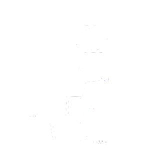 COc1ccc(C=O)c2cc(C(=O)N[C@@H](C)c3ccccc3)oc12